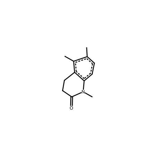 Cc1ccc2c(c1C)CCC(=O)N2C